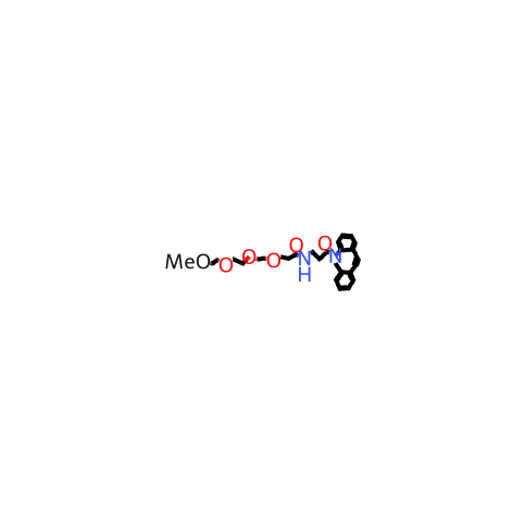 COCCOCCOCCOCCC(=O)NCCC(=O)N1Cc2ccccc2C#Cc2ccccc21